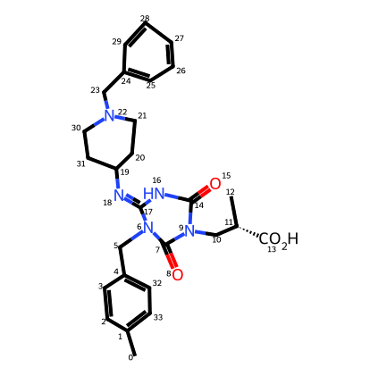 Cc1ccc(Cn2c(=O)n(C[C@H](C)C(=O)O)c(=O)[nH]/c2=N\C2CCN(Cc3ccccc3)CC2)cc1